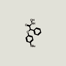 CCCCc1ccc(OC(C(=O)NO)c2ccccc2)cc1